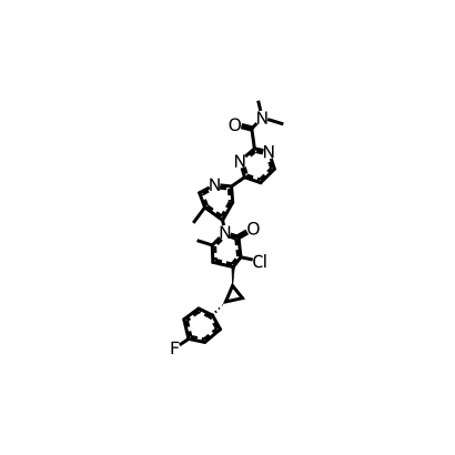 Cc1cnc(-c2ccnc(C(=O)N(C)C)n2)cc1-n1c(C)cc([C@H]2C[C@@H]2c2ccc(F)cc2)c(Cl)c1=O